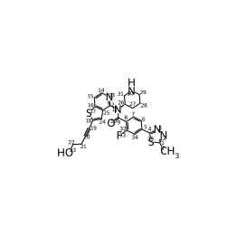 Cc1nnc(-c2ccc(C(=O)N(c3nccc4sc(C#CCCO)cc34)[C@@H]3CCCNC3)c(F)c2)s1